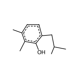 Cc1ccc(CC(C)C)c(O)c1C